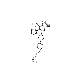 C=C1C(N)=CC(C2CCC(C3CCC(CCCCC)CC3)CC2)=C(c2ccccc2)C1N